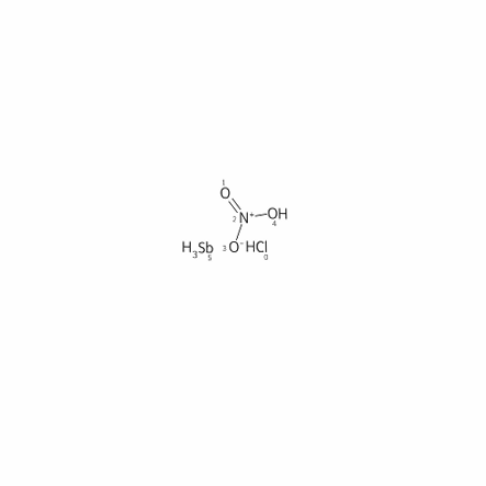 Cl.O=[N+]([O-])O.[SbH3]